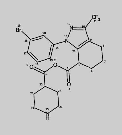 O=C(OC(=O)C1CCCc2c(C(F)(F)F)nn(-c3cccc(Br)c3)c21)C1CCNCC1